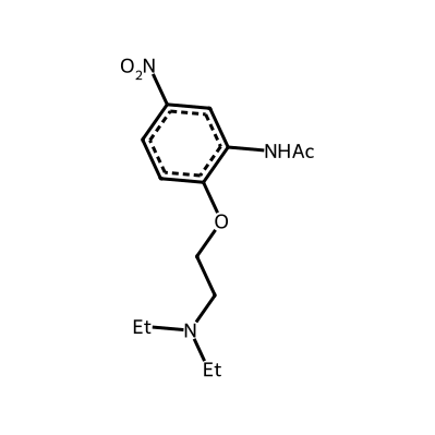 CCN(CC)CCOc1ccc([N+](=O)[O-])cc1NC(C)=O